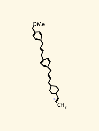 C/C=C/C1CCC(CC=CCc2ccc(CC=CCc3ccc(COC)cc3)cc2)CC1